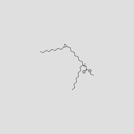 CCCCCCCCC/C(=C\C(=O)OCC)CCCCCCCC1CC1CCCCCCCC